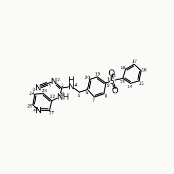 N#C/N=C(/NCc1ccc(S(=O)(=O)c2ccccc2)cc1)Nc1cccnc1